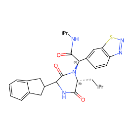 CC(C)C[C@@H]1C(=O)NC(C2Cc3ccccc3C2)C(=O)N1[C@@H](C(=O)NC(C)C)c1ccc2nnsc2c1